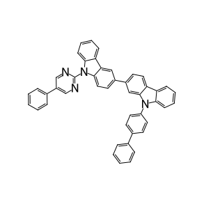 c1ccc(-c2ccc(-n3c4ccccc4c4ccc(-c5ccc6c(c5)c5ccccc5n6-c5ncc(-c6ccccc6)cn5)cc43)cc2)cc1